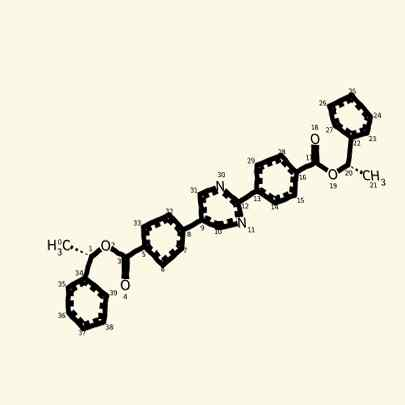 C[C@H](OC(=O)c1ccc(-c2cnc(-c3ccc(C(=O)O[C@@H](C)c4ccccc4)cc3)nc2)cc1)c1ccccc1